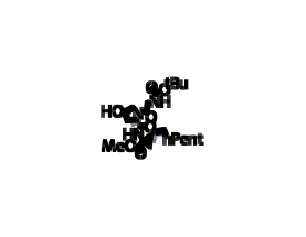 CCCCC/C=C\[C@@H]1C[C@]1(NC(=O)[C@@H]1C[C@H](O)CN1C(=O)CNC(=O)OC(C)(C)C)C(=O)OC